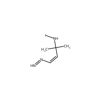 CC(C)(/C=C\N=N)NI